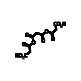 O=C(O)CC(=O)OC(=O)CC(=O)OC(=O)CC(=O)O